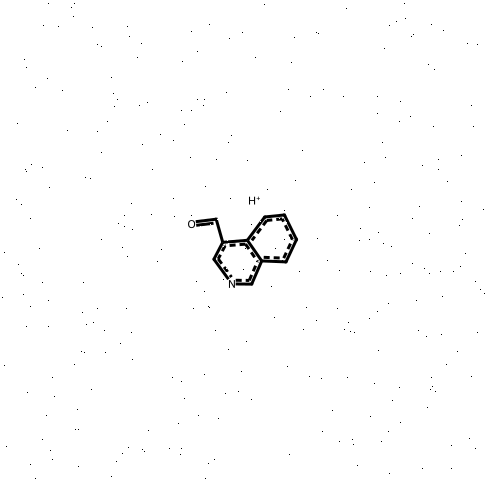 O=Cc1cncc2ccccc12.[H+]